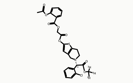 [2H]C([2H])([2H])OC(=O)[C@H](c1ccccc1Cl)N1CCc2sc(OC(=O)COC(=O)c3ccccc3OC(C)=O)cc2C1